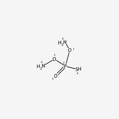 NOP(=O)(S)ON